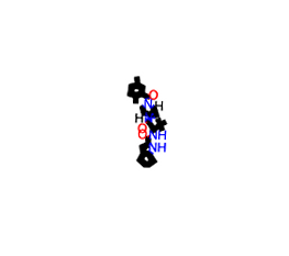 Cc1ccc(C)c(C(=O)N2C[C@@H]3C[C@H]2CN3C(=O)[C@@H](NC(=O)c2cc3ccccc3[nH]2)C(C)(C)C)c1